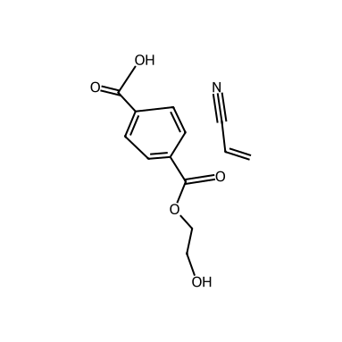 C=CC#N.O=C(O)c1ccc(C(=O)OCCO)cc1